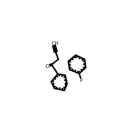 C#CCC(=O)c1ccccc1.Fc1ccccc1